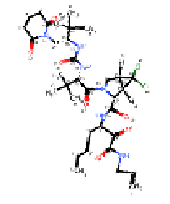 C=CCNC(=O)C(=O)C(CCCC)NC(=O)[C@@H]1[C@@H]2[C@H](CN1C(=O)[C@@H](NC(=O)N[C@H](CN1C(=O)CCCC1=O)C(C)(C)C)C(C)(C)C)C2(Cl)Cl